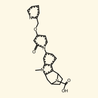 Cn1c2c(c3ccc(-n4ccc(OCc5ccccn5)cc4=O)cc31)C1CCC(C2)N1C(=O)O